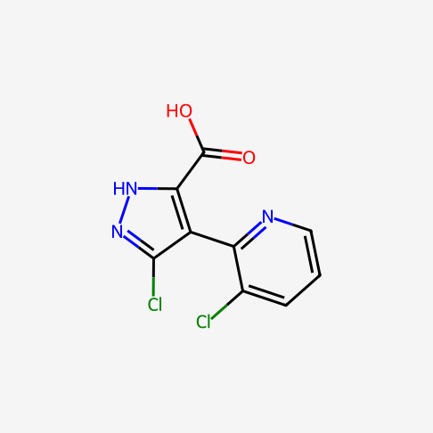 O=C(O)c1[nH]nc(Cl)c1-c1ncccc1Cl